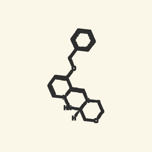 C1=CN2N[C@@H]3COCCN3C=C2C(OCc2ccccc2)=C1